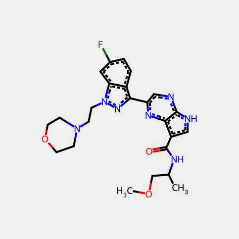 COCC(C)NC(=O)c1c[nH]c2ncc(-c3nn(CCN4CCOCC4)c4cc(F)ccc34)nc12